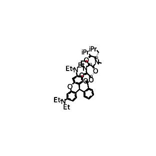 CCN(CC)c1ccc2c(c1)Oc1cc(N(CC)CC)ccc1C2c1ccccc1C(=O)O[C@@H](C)C(=O)N1CCC[C@H]1C(=O)N(C)[C@@H](CC(C)C)C(=O)C(C)C